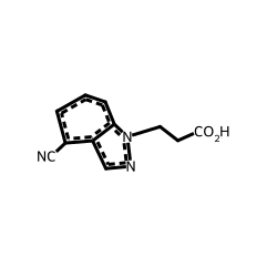 N#Cc1cccc2c1cnn2CCC(=O)O